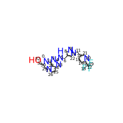 CN1c2nc(NCc3cnn(Cc4ccc(C(F)(F)F)nc4)c3)nc3ccn(c23)CC1CO